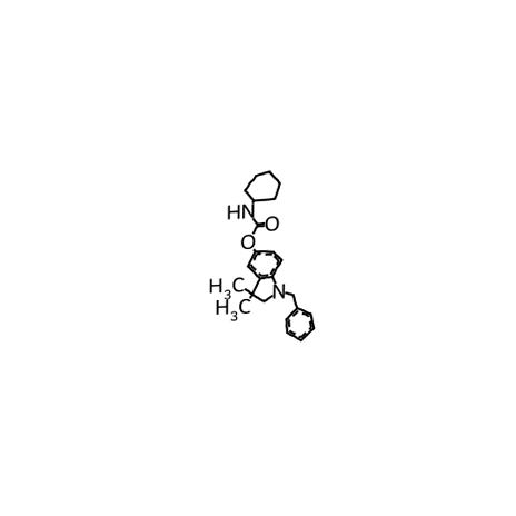 CC1(C)CN(Cc2ccccc2)c2ccc(OC(=O)NC3CCCCC3)cc21